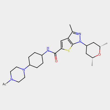 CC(=O)N1CCN(C2CCC(NC(=O)c3cc4c(C)nn(C5C[C@@H](C)O[C@@H](C)C5)c4s3)CC2)CC1